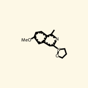 COc1ccc2c(C)nc(N3CCCO3)cc2c1